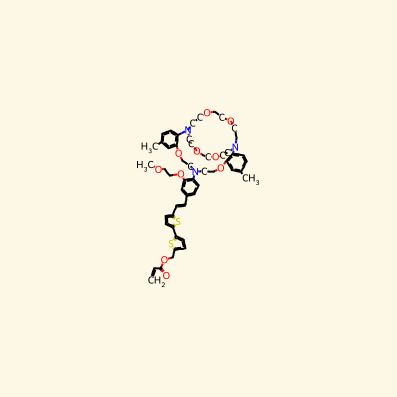 C=CC(=O)OCc1ccc(-c2ccc(/C=C/c3ccc(N4CCOc5cc(C)ccc5N5CCOCCOCCN(CCOCCOCC5)c5ccc(C)cc5OCC4)c(OCCOC)c3)s2)s1